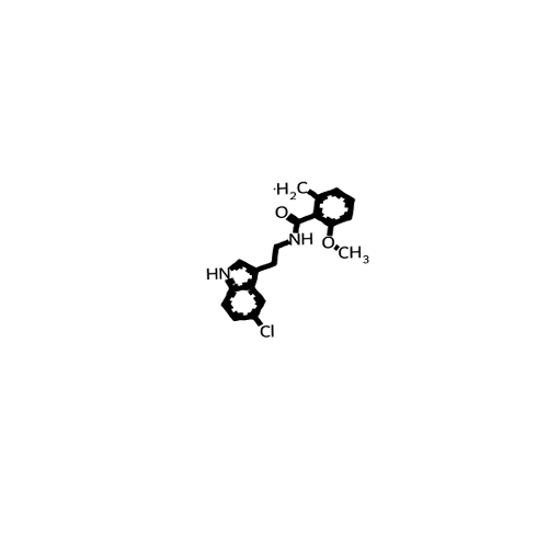 [CH2]c1cccc(OC)c1C(=O)NCCc1c[nH]c2ccc(Cl)cc12